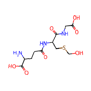 NC(CCC(=O)NC(CSCO)C(=O)NCC(=O)O)C(=O)O